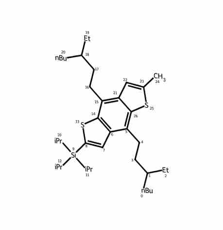 CCCCC(CC)CCc1c2cc([Si](C(C)C)(C(C)C)C(C)C)sc2c(CCC(CC)CCCC)c2cc(C)sc12